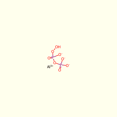 O=P([O-])([O-])OP(=O)([O-])OO.[Al+3]